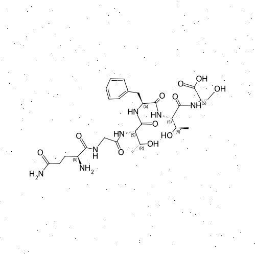 C[C@@H](O)[C@H](NC(=O)CNC(=O)[C@@H](N)CCC(N)=O)C(=O)N[C@@H](Cc1ccccc1)C(=O)N[C@H](C(=O)N[C@@H](CO)C(=O)O)[C@@H](C)O